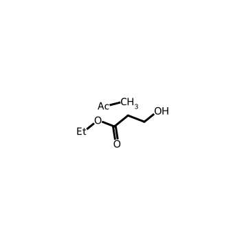 CC(C)=O.CCOC(=O)CCO